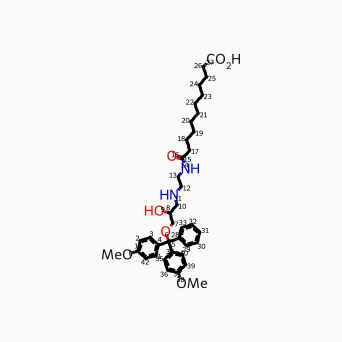 COc1ccc(C(OCC(O)CNCCNC(=O)CCCCCCCCCCC(=O)O)(c2ccccc2)c2ccc(OC)cc2)cc1